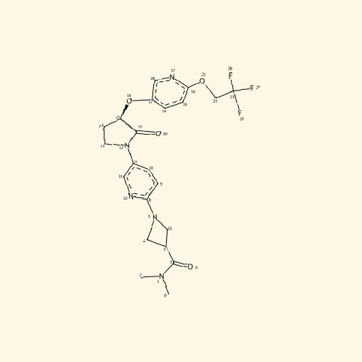 CN(C)C(=O)C1CN(c2ccc(N3CC[C@@H](Oc4ccc(OCC(F)(F)F)nc4)C3=O)cn2)C1